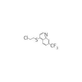 FC(F)(F)c1ccc2c(SCCCl)ccnc2c1